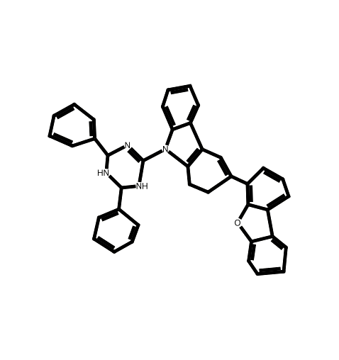 C1=C(c2cccc3c2oc2ccccc23)CCc2c1c1ccccc1n2C1=NC(c2ccccc2)NC(c2ccccc2)N1